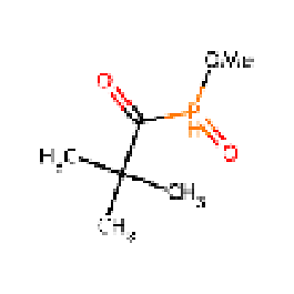 CO[PH](=O)C(=O)C(C)(C)C